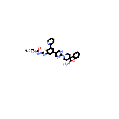 CCNC(=O)Nc1nc2cc(-c3cnc(N4CCC(C(N)=O)(c5ccccc5)CC4)nc3)cc(-c3ccccn3)c2s1